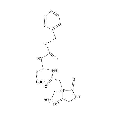 O=C([O-])CC(NC(=O)C[N+]1(CC(=O)O)C(=O)CNC1=O)NC(=O)OCc1ccccc1